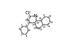 Clc1nc(-c2ccccc2)c2c#cc3ccccc3c2n1